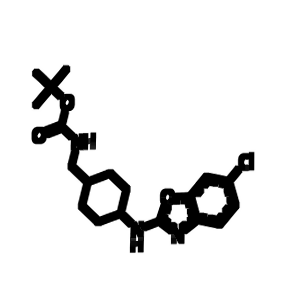 CC(C)(C)OC(=O)NCC1CCC(Nc2nc3ccc(Cl)cc3o2)CC1